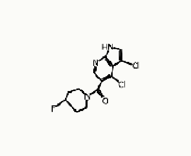 O=C(c1cnc2[nH]cc(Cl)c2c1Cl)N1CCC(F)CC1